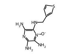 Nc1nc(N)c(NCc2ccsc2)[n+]([O-])c1N